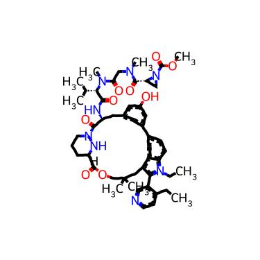 CCc1ccncc1-c1c2c3cc(ccc3n1CC)-c1cc(O)cc(c1)C[C@H](NC(=O)[C@H](C(C)C)N(C)C(=O)CN(C)C(=O)[C@H]1CN1C(=O)OC)C(=O)N1CCC[C@H](N1)C(=O)OCC(C)(C)C2